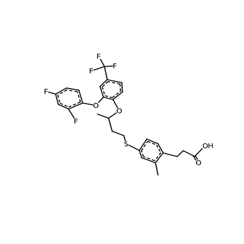 Cc1cc(SCCC(C)Oc2ccc(C(F)(F)F)cc2Oc2ccc(F)cc2F)ccc1CCC(=O)O